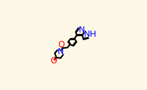 O=C1CCN(C(=O)Cc2ccc(-c3ccnc4[nH]ccc34)cc2)CC1